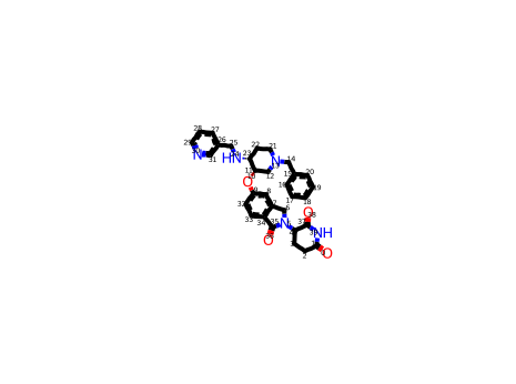 O=C1CCC(N2Cc3cc(O[C@@H]4CN(Cc5ccccc5)CC[C@H]4NCc4cccnc4)ccc3C2=O)C(=O)N1